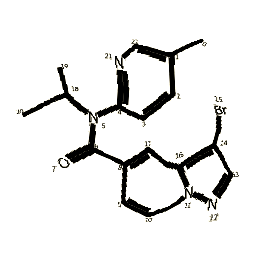 Cc1ccc(N(C(=O)c2ccn3ncc(Br)c3c2)C(C)C)nc1